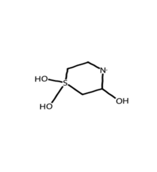 OC1CS(O)(O)CC[N]1